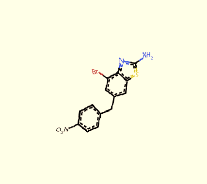 Nc1nc2c(Br)cc(Cc3ccc([N+](=O)[O-])cc3)cc2s1